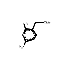 COCc1ccc(N)nc1C